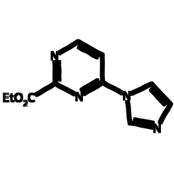 CCOC(=O)c1nccc(-n2ccnc2)n1